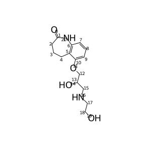 O=C1CCCc2c(cccc2OCC(O)CNCCO)N1